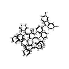 Cc1ccc2c(c1)c1cc(C)ccc1n2-c1ccc(-c2c(C#N)c(-n3c4c(c5ccccc53)=NCCC=4)c(-c3nc(-c4ccccc4)nc(-c4ccccc4)n3)c(-n3c4c(c5ccccc53)=NCCC=4)c2-n2c3c(c4ccccc42)=NCCC=3)cc1